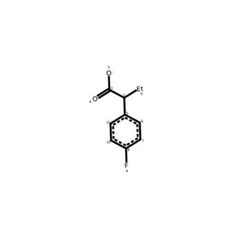 CCC(C([O])=O)c1ccc(F)cc1